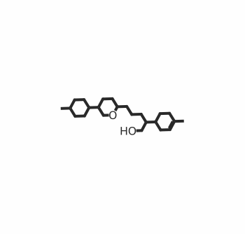 CC1=CCC(C(CO)CCCC2CCC(C3CCC(C)CC3)CO2)CC1